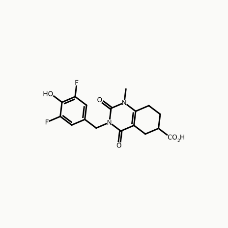 Cn1c2c(c(=O)n(Cc3cc(F)c(O)c(F)c3)c1=O)CC(C(=O)O)CC2